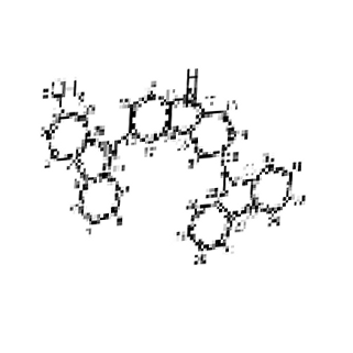 Cc1ccc2c3ccccc3n(-c3ccc4[nH]c5ccc(-n6c7ccccc7c7ccccc76)cc5c4c3)c2c1